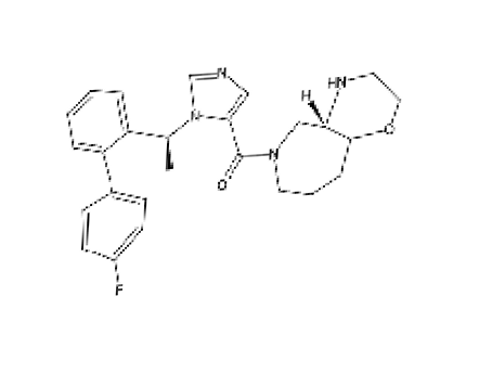 C[C@@H](c1ccccc1-c1ccc(F)cc1)n1cncc1C(=O)N1CCCC2OCCN[C@H]2C1